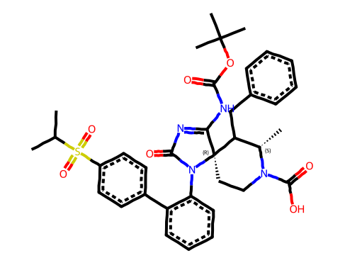 CC(C)S(=O)(=O)c1ccc(-c2ccccc2N2C(=O)N=C(NC(=O)OC(C)(C)C)[C@]23CCN(C(=O)O)[C@@H](C)C3Cc2ccccc2)cc1